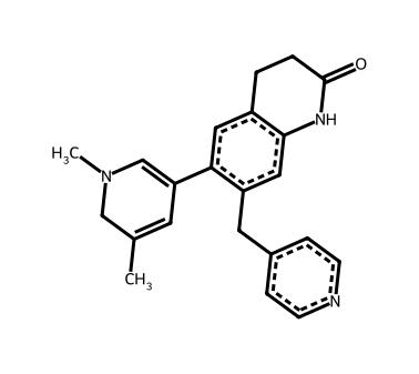 CC1=CC(c2cc3c(cc2Cc2ccncc2)NC(=O)CC3)=CN(C)C1